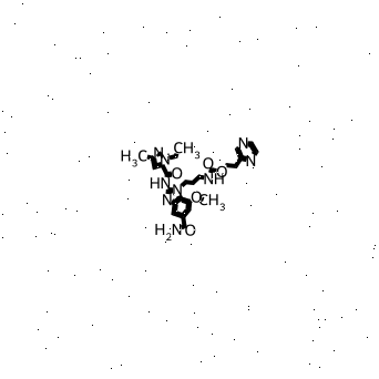 CCn1nc(C)cc1C(=O)Nc1nc2cc(C(N)=O)cc(OC)c2n1CCCNC(=O)OCCc1cnccn1